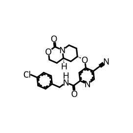 N#Cc1cnc(C(=O)NCc2ccc(Cl)cc2)cc1O[C@H]1CCN2C(=O)OCC[C@@H]2C1